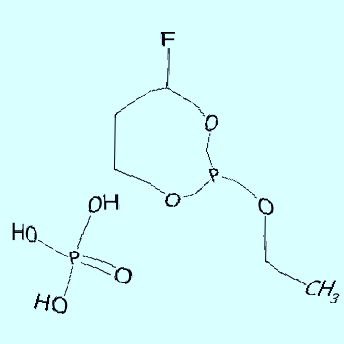 CCOP1OCCC(F)O1.O=P(O)(O)O